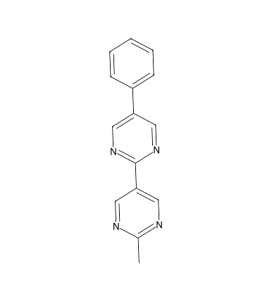 Cc1ncc(-c2ncc(-c3ccccc3)cn2)cn1